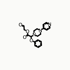 O=CCOC(=O)C(Oc1ccccc1)N1CCN(c2ccncc2)CC1